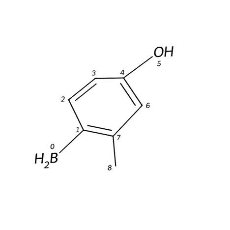 Bc1ccc(O)cc1C